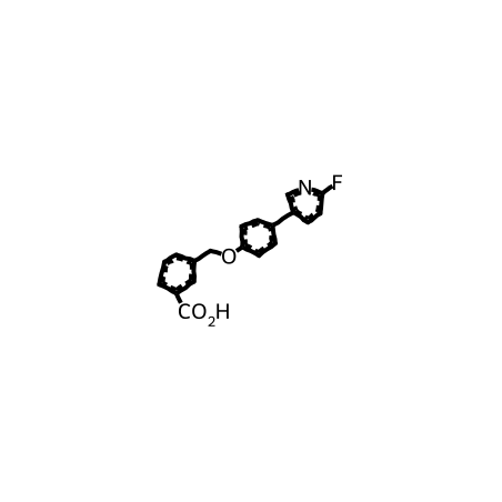 O=C(O)c1cccc(COc2ccc(-c3ccc(F)nc3)cc2)c1